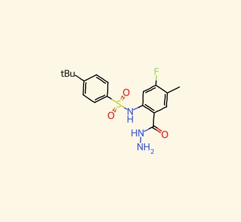 Cc1cc(C(=O)NN)c(NS(=O)(=O)c2ccc(C(C)(C)C)cc2)cc1F